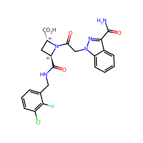 NC(=O)c1nn(CC(=O)N2[C@@H](C(=O)O)C[C@@H]2C(=O)NCc2cccc(Cl)c2F)c2ccccc12